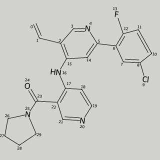 C=Cc1cnc(-c2cc(Cl)ccc2F)cc1Nc1ccncc1C(=O)N1CCCC1